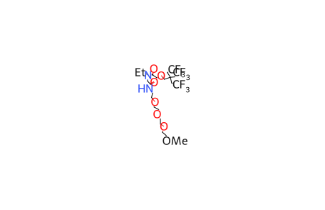 CCN(CC(=O)NCCOCCOCCOCCOC)C(=O)COCC(CC(F)(F)F)(CC(F)(F)F)CC(F)(F)F